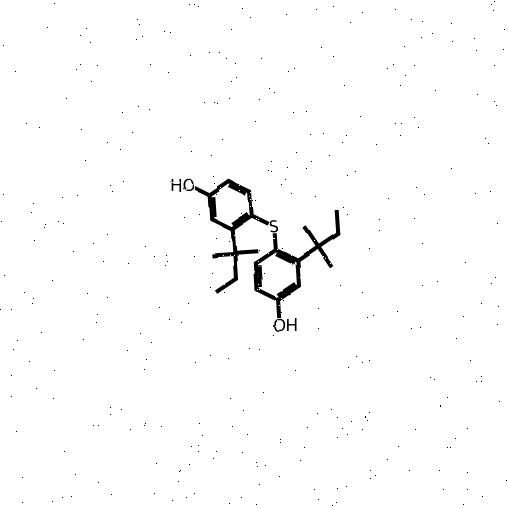 CCC(C)(C)c1cc(O)ccc1Sc1ccc(O)cc1C(C)(C)CC